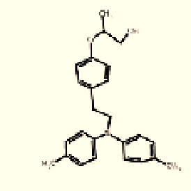 Cc1ccc(N(CCc2ccc(OC(C)CO)cc2)c2ccc(C)cc2)cc1